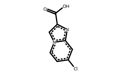 O=C(O)c1cn2ccc(Cl)cc2n1